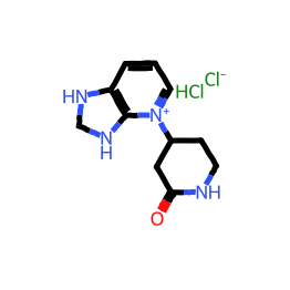 Cl.O=C1CC([n+]2cccc3c2NCN3)CCN1.[Cl-]